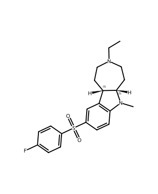 CCN1CC[C@H]2c3cc(S(=O)(=O)c4ccc(F)cc4)ccc3N(C)[C@H]2CC1